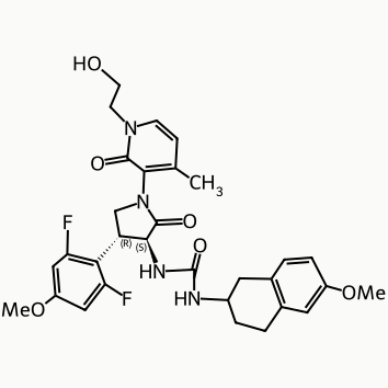 COc1cc(F)c([C@@H]2CN(c3c(C)ccn(CCO)c3=O)C(=O)[C@H]2NC(=O)NC2CCc3cc(OC)ccc3C2)c(F)c1